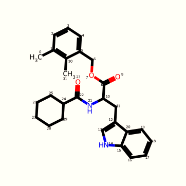 Cc1cccc(COC(=O)C(Cc2c[nH]c3ccccc23)NC(=O)C2CCCCC2)c1C